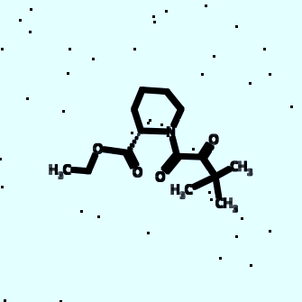 CCOC(=O)[C@@H]1CCCCN1C(=O)C(=O)C(C)(C)C